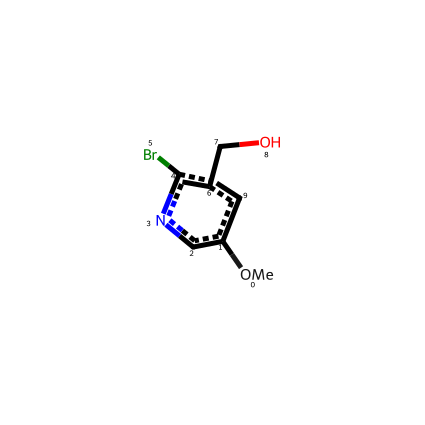 COc1cnc(Br)c(CO)c1